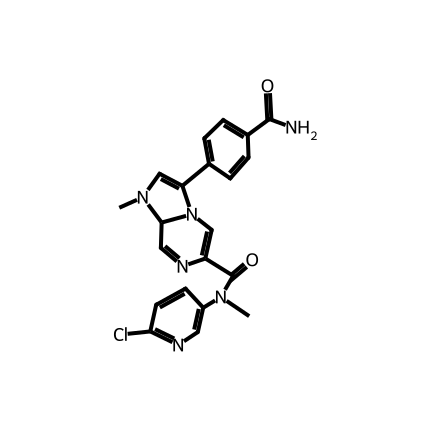 CN(C(=O)C1=CN2C(c3ccc(C(N)=O)cc3)=CN(C)C2C=N1)c1ccc(Cl)nc1